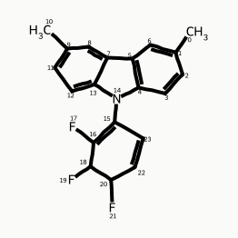 Cc1ccc2c(c1)c1cc(C)ccc1n2C1=C(F)C(F)C(F)C=C1